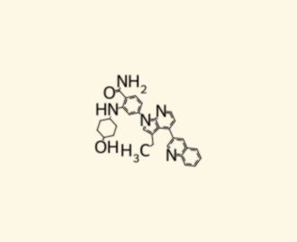 CCc1cn(-c2ccc(C(N)=O)c(N[C@H]3CC[C@H](O)CC3)c2)c2nccc(-c3cnc4ccccc4c3)c12